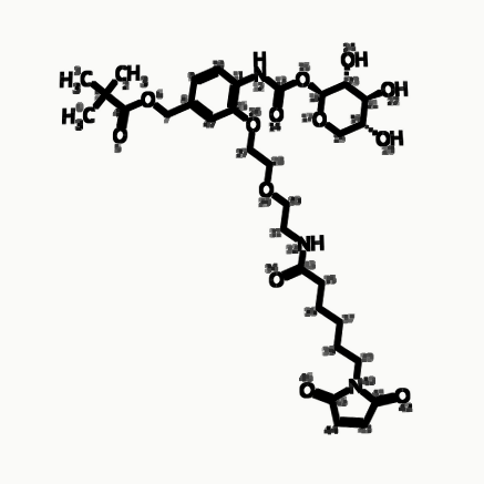 CC(C)(C)C(=O)OCc1ccc(NC(=O)O[C@@H]2OC[C@@H](O)[C@H](O)[C@H]2O)c(OCCOCCNC(=O)CCCCCN2C(=O)C=CC2=O)c1